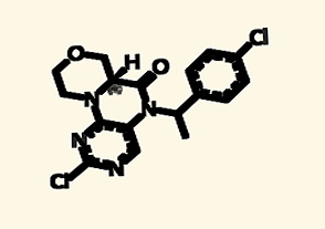 CC(c1ccc(Cl)cc1)N1C(=O)[C@H]2COCCN2c2nc(Cl)ncc21